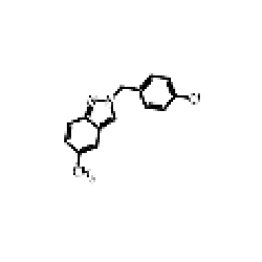 Cc1ccc2nn(Cc3ccc(Cl)cc3)cc2c1